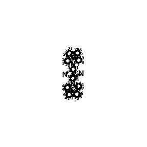 N#Cc1cc(N2c3ccccc3[Si](c3ccccc3)(c3ccccc3)c3ccccc32)ccc1-c1ccc(N2c3ccccc3[Si](c3ccccc3)(c3ccccc3)c3ccccc32)cc1C#N